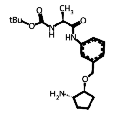 C[C@H](NC(=O)OC(C)(C)C)C(=O)Nc1cccc(CO[C@H]2CCC[C@@H]2N)c1